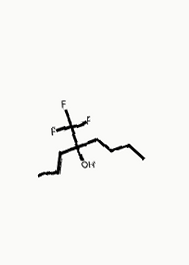 CCCCC(O)(CCC)C(F)(F)F